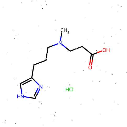 CN(CCCc1c[nH]cn1)CCC(=O)O.Cl